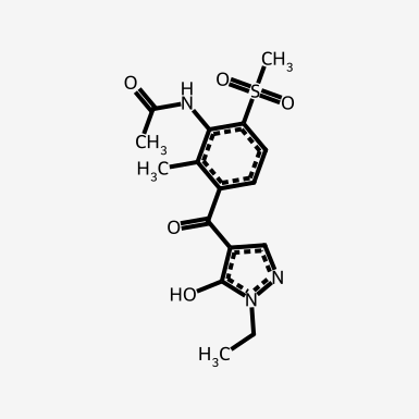 CCn1ncc(C(=O)c2ccc(S(C)(=O)=O)c(NC(C)=O)c2C)c1O